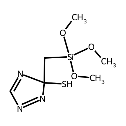 CO[Si](CC1(S)N=CN=N1)(OC)OC